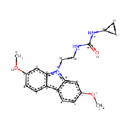 COc1ccc2c3ccc(OC)cc3n(CCNC(=O)NC3CC3)c2c1